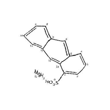 O=S(=O)(O)c1cccc2cc3ccccc3cc12.[MgH2]